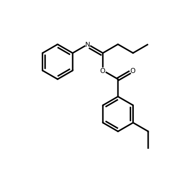 CCCC(=Nc1ccccc1)OC(=O)c1cccc(CC)c1